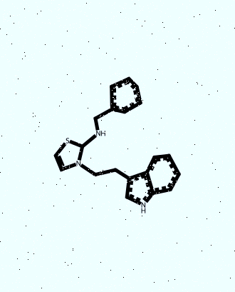 C1=CN(CCc2c[nH]c3ccccc23)C(NCc2ccccc2)S1